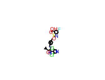 O=C(O)c1cc(F)cc2nc(OCC34CCC(/C=C/c5c(-c6c(Cl)cncc6Cl)noc5C5CC5)(CC3)CC4)sc12